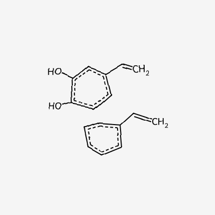 C=Cc1ccc(O)c(O)c1.C=Cc1ccccc1